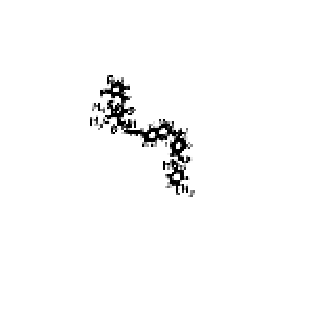 Cc1c(C(=O)NCC#Cc2ccc3nc(Nc4ccc(C(=O)NC5CCC(C)CC5)cc4)ncc3c2)c(=O)n(Cc2ccc(F)c(F)c2)n1C